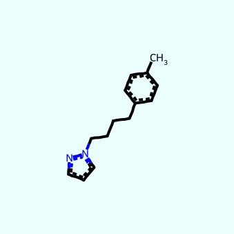 Cc1ccc(CCCCn2cccn2)cc1